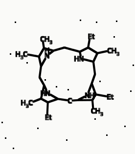 CCC1C2CC3NC(CC4NC(CC5NC(CC(N2)C1C)C(CC)C5C)C(CC)C4C)C(C)C3C